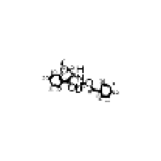 COC[C@@H](NC(=O)OCc1ccccc1)[C@H](O)c1ccccc1